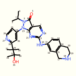 CC(C)n1c(=O)c2cnc(Nc3ccc4c(c3)CNCC4)nc2n1-c1ccnc(C(C)(C)C(C)(C)O)c1